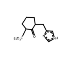 CCOC(=O)C1CCCC(Cc2c[nH]cn2)C1=O